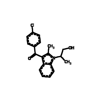 Cc1c(C(=O)c2ccc(Cl)cc2)c2ccccc2n1C(C)CO